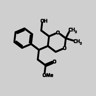 COC(=O)CC(c1ccccc1)C1COC(C)(C)OC1CO